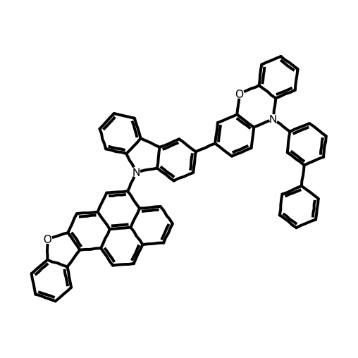 c1ccc(-c2cccc(N3c4ccccc4Oc4cc(-c5ccc6c(c5)c5ccccc5n6-c5cc6cc7oc8ccccc8c7c7ccc8cccc5c8c67)ccc43)c2)cc1